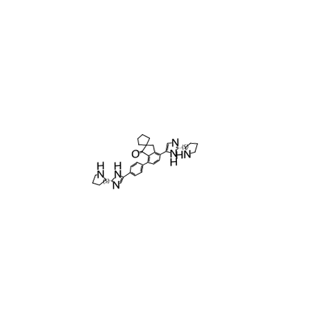 O=C1c2c(-c3ccc(-c4cnc([C@@H]5CCCN5)[nH]4)cc3)ccc(-c3cnc([C@@H]4CCCN4)[nH]3)c2CC12CCCC2